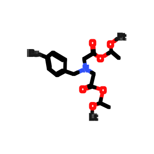 CCOC(C)OC(=O)CN(CC(=O)OC(C)OCC)Cc1ccc(C(C)CC)cc1